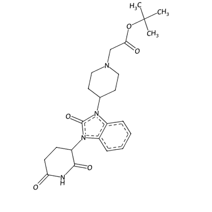 CC(C)(C)OC(=O)CN1CCC(n2c(=O)n(C3CCC(=O)NC3=O)c3ccccc32)CC1